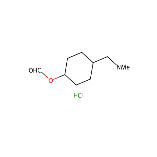 CNCC1CCC(OC=O)CC1.Cl